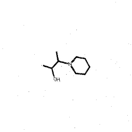 [CH2]C(O)C(C)N1CCCCC1